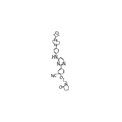 N#Cc1cc(-c2nccc(Nc3ccc(N4CCN(C5COC5)CC4)cc3)n2)ccc1OCCCN1CCCC1=O